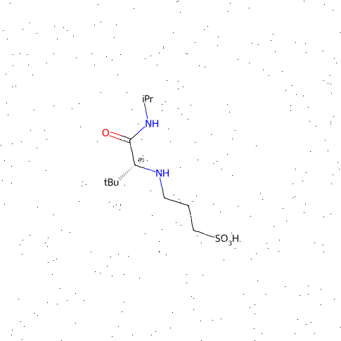 CC(C)NC(=O)[C@H](NCCCS(=O)(=O)O)C(C)(C)C